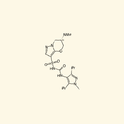 CN[C@@H]1COc2c(S(=O)(=O)NC(=O)Nc3c(C(C)C)nn(C)c3C(C)C)cnn2C1